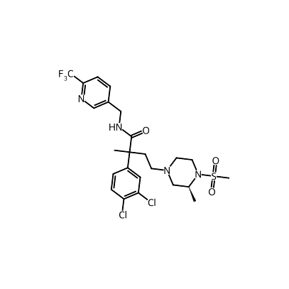 C[C@H]1CN(CCC(C)(C(=O)NCc2ccc(C(F)(F)F)nc2)c2ccc(Cl)c(Cl)c2)CCN1S(C)(=O)=O